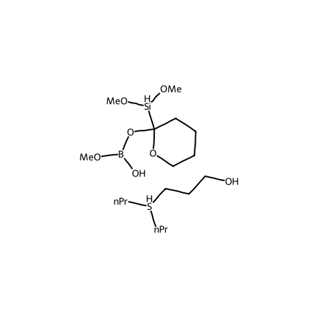 CCC[SH](CCC)CCCO.COB(O)OC1([SiH](OC)OC)CCCCO1